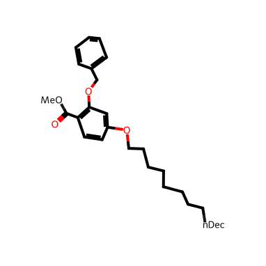 CCCCCCCCCCCCCCCCCCOc1ccc(C(=O)OC)c(OCc2ccccc2)c1